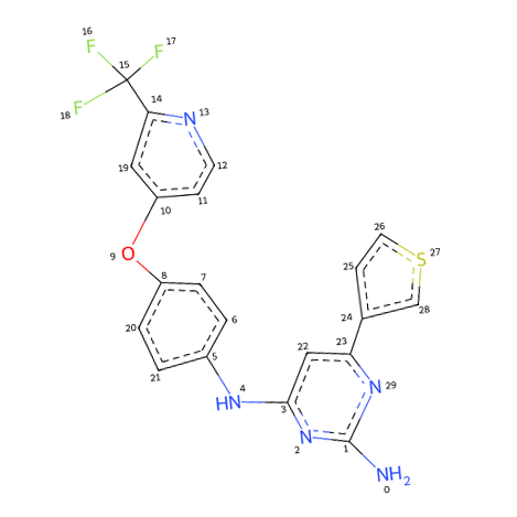 Nc1nc(Nc2ccc(Oc3ccnc(C(F)(F)F)c3)cc2)cc(-c2ccsc2)n1